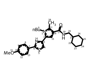 CCCCn1c(-c2csc(-c3ccc(OC)cc3)n2)cc(C(=O)NCC2CCCCC2)c1C